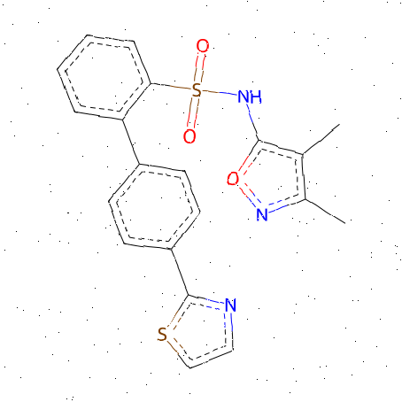 Cc1noc(NS(=O)(=O)c2ccccc2-c2ccc(-c3nccs3)cc2)c1C